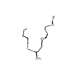 CC(COCC[O][Y])OCCO